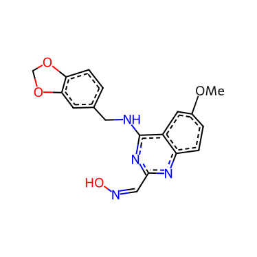 COc1ccc2nc(/C=N\O)nc(NCc3ccc4c(c3)OCO4)c2c1